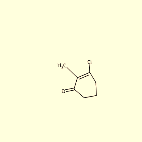 CC1=C(Cl)CCCC1=O